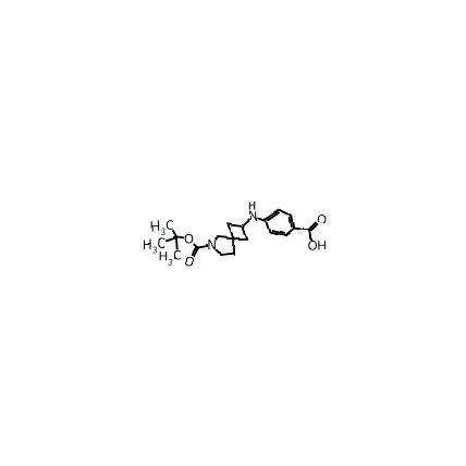 CC(C)(C)OC(=O)N1CCC2(CC(Nc3ccc(C(=O)O)cc3)C2)C1